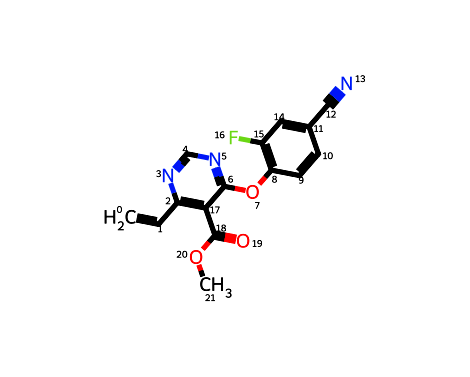 C=Cc1ncnc(Oc2ccc(C#N)cc2F)c1C(=O)OC